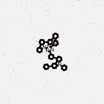 c1ccc(-c2ccc3c(c2)c2c(-c4cccc(-c5nc(-c6ccccc6)nc(-n6c7ccccc7c7cccc(-c8ccc9oc%10ccccc%10c9c8)c76)n5)c4)cccc2n3-c2ccccc2)cc1